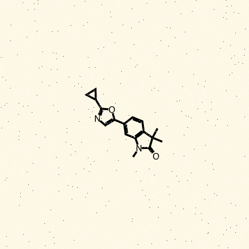 CN1C(=O)C(C)(C)c2ccc(-c3cnc(C4CC4)o3)cc21